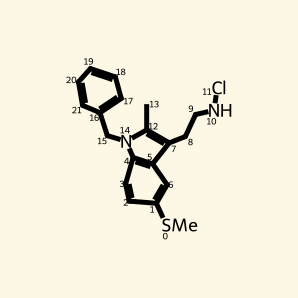 CSc1ccc2c(c1)c(CCNCl)c(C)n2Cc1ccccc1